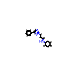 c1ccc(-c2cnn(CCCNC3CCCCC3)n2)cc1